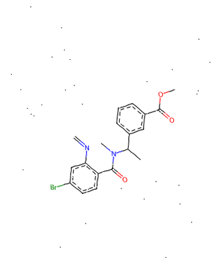 C=Nc1cc(Br)ccc1C(=O)N(C)C(C)c1cccc(C(=O)OC)c1